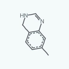 Cc1ccc2c(c1)N=CNC2